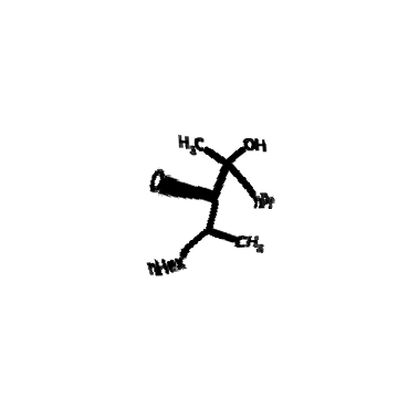 CCCCCCC(C)C(=O)C(C)(O)CCC